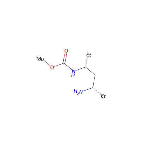 CC[C@H](N)C[C@@H](CC)NC(=O)OC(C)(C)C